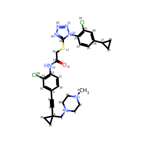 CN1CCN(CC2(C#Cc3ccc(NC(=O)CSc4nnnn4-c4ccc(C5CC5)cc4Cl)c(Cl)c3)CC2)CC1